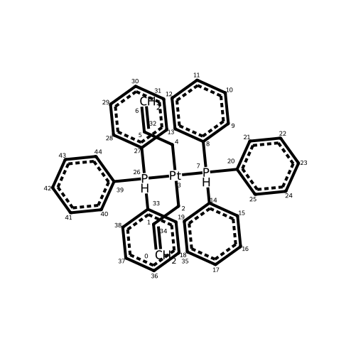 C=C[CH2][Pt]([CH2]C=C)([PH](c1ccccc1)(c1ccccc1)c1ccccc1)[PH](c1ccccc1)(c1ccccc1)c1ccccc1